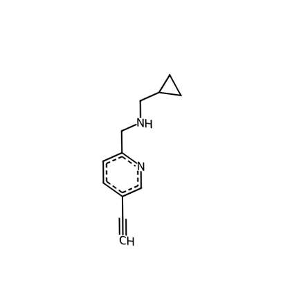 C#Cc1ccc(CNCC2CC2)nc1